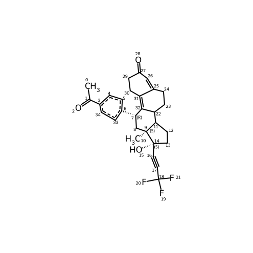 CC(=O)c1ccc([C@H]2C[C@@]3(C)C(CC[C@@]3(O)C#CC(F)(F)F)C3CCC4=CC(=O)CCC4=C32)cc1